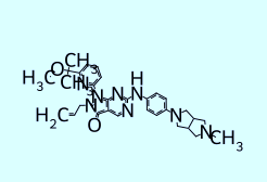 C=CCn1c(=O)c2cnc(Nc3ccc(N4CC5CN(C)CC5C4)cc3)nc2n1-c1cccc(C(C)(C)OC)n1